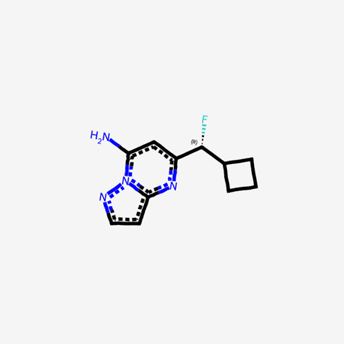 Nc1cc([C@H](F)C2CCC2)nc2ccnn12